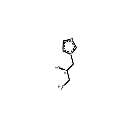 CC[C@@H](O)Cn1cncn1